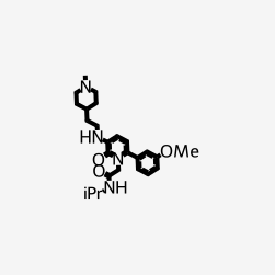 COc1cccc(-c2ccc(NCCC3CCN(C)CC3)c(=O)n2CC(=O)NC(C)C)c1